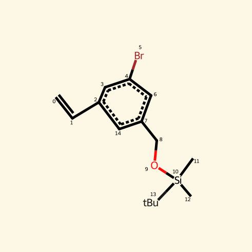 C=Cc1cc(Br)cc(CO[Si](C)(C)C(C)(C)C)c1